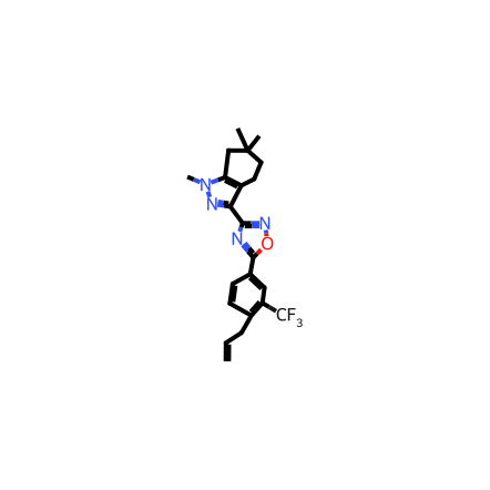 C=CCc1ccc(-c2nc(-c3nn(C)c4c3CCC(C)(C)C4)no2)cc1C(F)(F)F